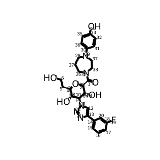 O=C([C@@H]1O[C@H](CCO)[C@H](O)[C@H](n2cc(-c3cccc(F)c3)nn2)[C@H]1O)N1CCCN(c2ccc(O)cc2)CC1